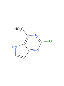 O=C(O)c1nc(Cl)nc2cc[nH]c12